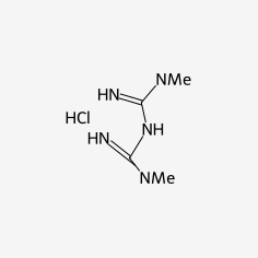 CNC(=N)NC(=N)NC.Cl